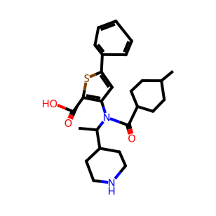 CC1CCC(C(=O)N(c2cc(-c3ccccc3)sc2C(=O)O)C(C)C2CCNCC2)CC1